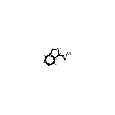 O=[N+]([O-])C1OCc2ccccc21